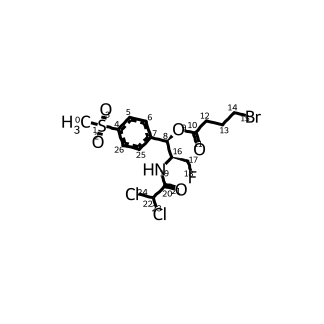 CS(=O)(=O)c1ccc([C@@H](OC(=O)CCCBr)[C@@H](CF)NC(=O)C(Cl)Cl)cc1